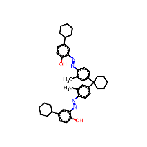 Cc1cc(C2(c3ccc(N=Nc4cc(C5CCCCC5)ccc4O)c(C)c3)CCCCC2)ccc1N=Nc1cc(C2CCCCC2)ccc1O